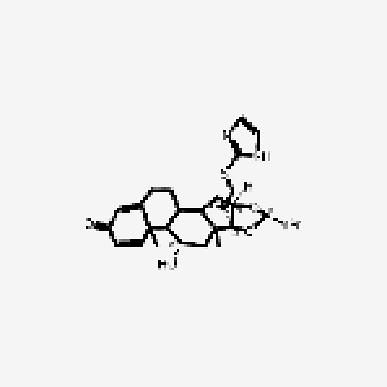 CCC[C@@H]1O[C@@H]2CC3C4CCC5=CC(=O)C=CC5(C)C4[C@@H](O)CC3(C)[C@]2(C(=O)CSc2ncc[nH]2)O1